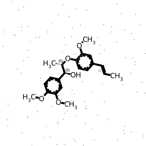 C/C=C/c1ccc(O[C@@H](C)[C@@H](O)c2ccc(OC)c(OC)c2)c(OC)c1